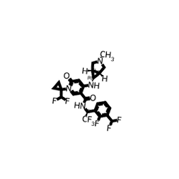 CN1C[C@@H]2[C@H](C1)[C@@H]2Nc1cc(=O)n(C2(C(F)F)CC2)cc1C(=O)N[C@@H](c1cccc(C(F)F)c1F)C(F)(F)F